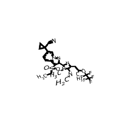 C=Nc1c(/C=C(\C)OC(F)(F)C(F)(F)F)nc(-c2nn3cc(C4(C#N)CC4)ccc3c2S(=O)(=O)CC)n1C